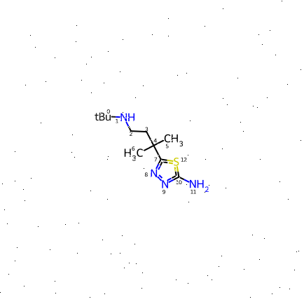 CC(C)(C)NCCC(C)(C)c1nnc(N)s1